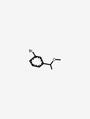 COC(C)c1cccc(Br)c1